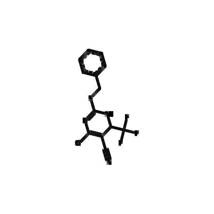 N#CC1=C(Cl)N=C(SCc2ccccc2)NC1C(F)(F)F